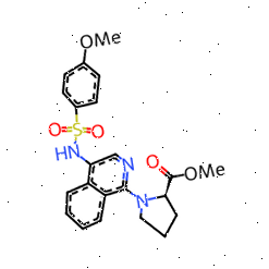 COC(=O)[C@H]1CCCN1c1ncc(NS(=O)(=O)c2ccc(OC)cc2)c2ccccc12